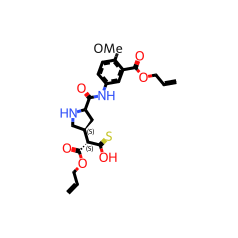 C=CCOC(=O)c1cc(NC(=O)C2C[C@@H]([C@@H](C(=O)OCC=C)C(O)=S)CN2)ccc1OC